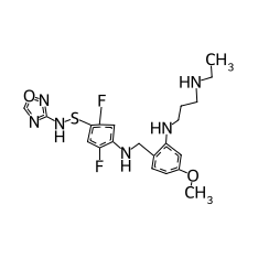 CCNCCCNc1cc(OC)ccc1CNc1cc(F)c(SNc2ncon2)cc1F